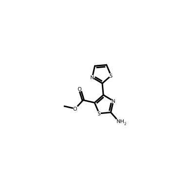 COC(=O)c1sc(N)nc1-c1nccs1